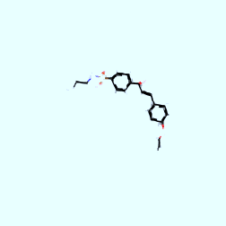 O=C(O)CCNS(=O)(=O)c1ccc(C(=O)/C=C/c2ccc(OCCC(=O)O)cc2)cc1